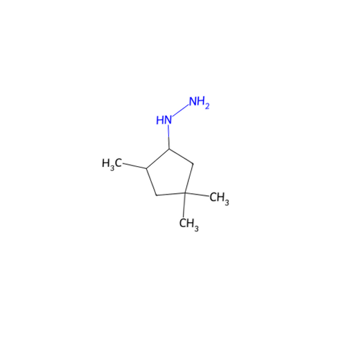 CC1CC(C)(C)CC1NN